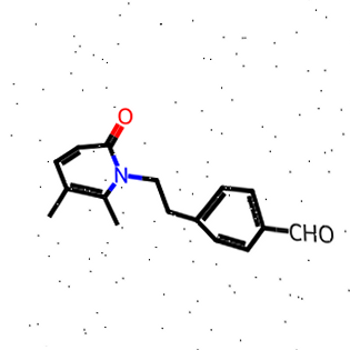 Cc1ccc(=O)n(CCc2ccc(C=O)cc2)c1C